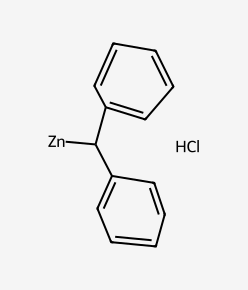 Cl.[Zn][CH](c1ccccc1)c1ccccc1